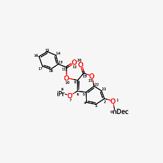 CCCCCCCCCCOc1ccc2c(OC(C)C)c(OC(=O)c3ccccc3)c(=O)oc2c1